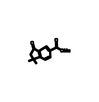 COC(=O)c1ccc2c(c1)C(=O)CC2(C)C